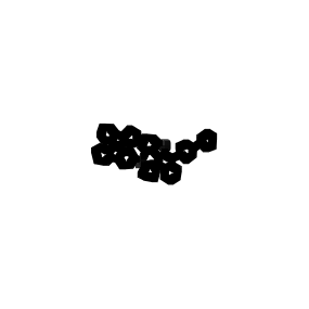 c1ccc(-c2ccc(-c3c4ccccc4cc4c3oc3cccc(N(c5ccccc5)c5ccc6c(c5)C5(c7ccccc7-c7ccccc75)c5ccccc5-6)c34)cc2)cc1